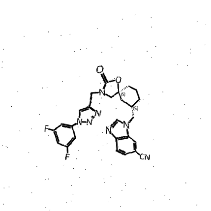 N#Cc1ccc2ncn(C[C@H]3CCC[C@]4(C3)CN(Cc3cn(-c5cc(F)cc(F)c5)nn3)C(=O)O4)c2c1